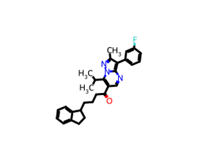 Cc1nn2c(C(C)C)c(C(=O)CCCC3CCc4ccccc43)cnc2c1-c1cccc(F)c1